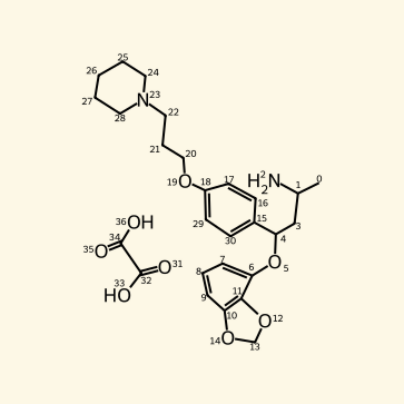 CC(N)CC(Oc1cccc2c1OCO2)c1ccc(OCCCN2CCCCC2)cc1.O=C(O)C(=O)O